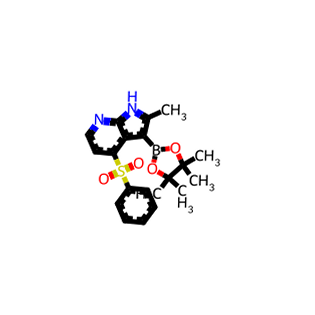 Cc1[nH]c2nccc(S(=O)(=O)c3ccccc3)c2c1B1OC(C)(C)C(C)(C)O1